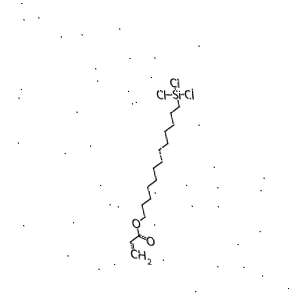 C=CC(=O)OCCCCCCCCCCCCC[Si](Cl)(Cl)Cl